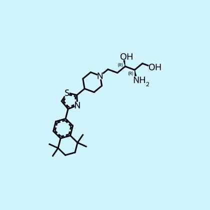 CC1(C)CCC(C)(C)c2cc(-c3csc(C4CCN(CC[C@@H](O)[C@H](N)CO)CC4)n3)ccc21